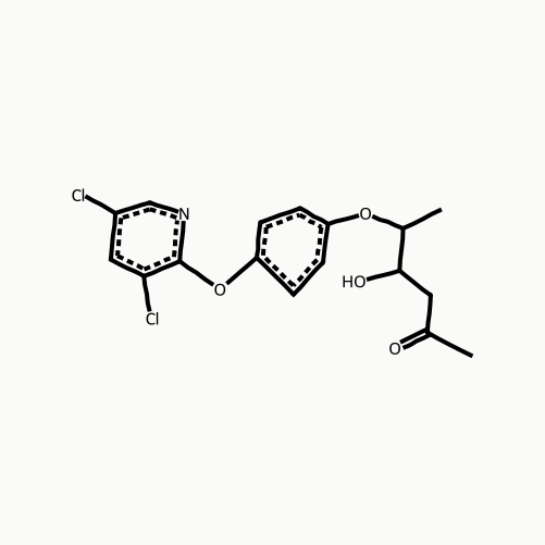 CC(=O)CC(O)C(C)Oc1ccc(Oc2ncc(Cl)cc2Cl)cc1